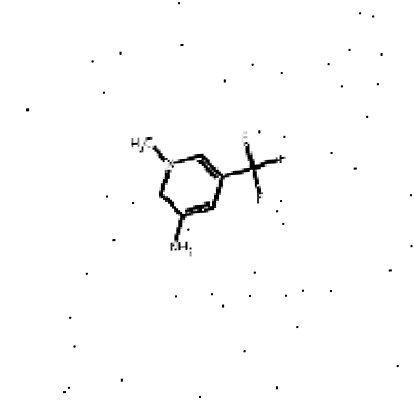 CN1C=C(C(F)(F)F)C=C(N)C1